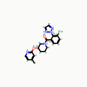 Cc1ccnc(O[C@@H]2CCCN(C(=O)c3cccc(F)c3-n3nccn3)C2)c1